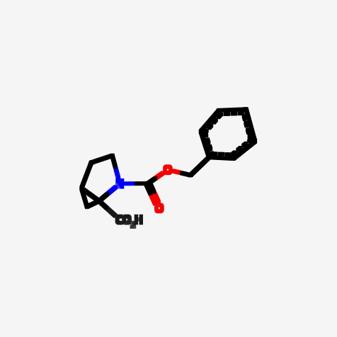 O=C(OCc1ccccc1)N1CCC2CC21C(=O)O